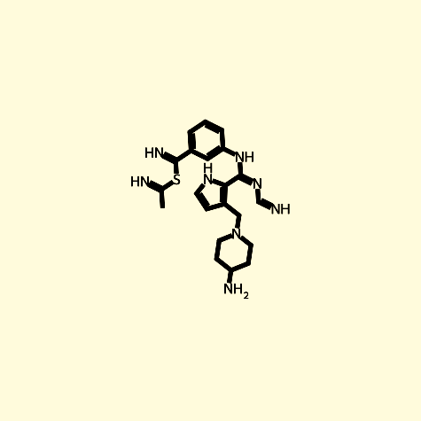 CC(=N)SC(=N)c1cccc(N/C(=N/C=N)c2[nH]ccc2CN2CCC(N)CC2)c1